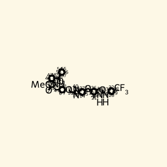 COC(=O)[C@H](Cc1ccc(OCc2nc3ccc(Oc4cc(C)c(NC(=O)Nc5ccc(C(F)(F)F)cc5)c(C)c4)cc3n2C)cc1)Nc1ccccc1C(=O)c1ccccc1